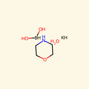 C1COCCN1.O.OBO.[KH]